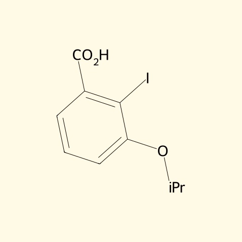 CC(C)Oc1cccc(C(=O)O)c1I